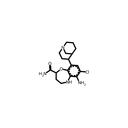 NC(=O)C1CCNc2c(N)c(Cl)cc(C3CCN4CCCC3C4)c2O1